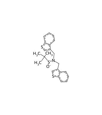 CC(C)(C)[S+]([O-])N(Cc1csc2ccccc12)Cc1csc2ccccc12